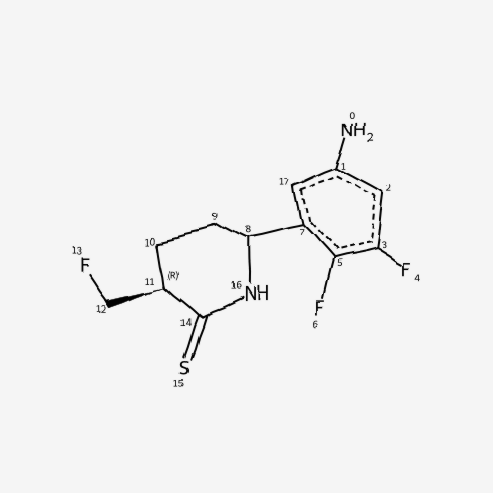 Nc1cc(F)c(F)c(C2CC[C@H](CF)C(=S)N2)c1